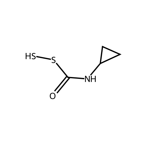 O=C(NC1CC1)SS